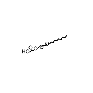 CCCCCCCCCCOCCOCCOCC(CO)OC